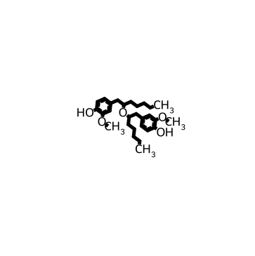 CCCCCC(Cc1ccc(O)c(OC)c1)OC(CCCCC)Cc1ccc(O)c(OC)c1